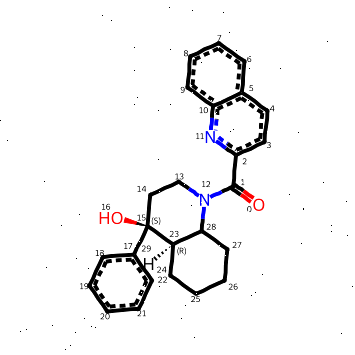 O=C(c1ccc2ccccc2n1)N1CC[C@@](O)(c2ccccc2)[C@@H]2CCCCC21